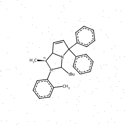 Cc1ccccc1N1C(C(C)(C)C)N2C(C=CC2(c2ccccc2)c2ccccc2)[C@@H]1C